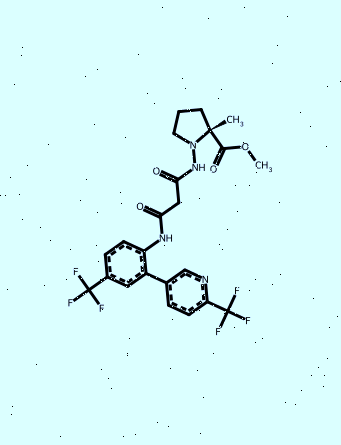 COC(=O)[C@@]1(C)CCCN1NC(=O)CC(=O)Nc1ccc(C(F)(F)F)cc1-c1ccc(C(F)(F)F)nc1